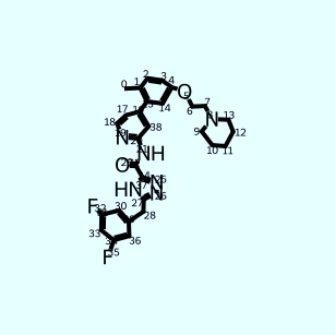 Cc1ccc(OCCN2CCCCC2)cc1-c1ccnc(NC(=O)c2nnc(Cc3cc(F)cc(F)c3)[nH]2)c1